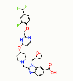 O=C(O)c1ccc2nc(CN3CCC(Oc4ccnc(COc5ccc(C(F)F)cc5F)n4)CC3)n(C[C@@H]3CCO3)c2c1